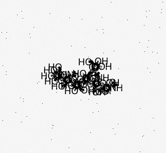 CC(=O)NC1[C@H](OC2C(O)[C@H](O)C(CO)O[C@@H]2O[C@@H]2C(O)[C@H](O[C@@H]3C(CO)O[C@@H](O[C@@H]4C(CO)O[C@@H](C)C(NC(C)=O)[C@H]4O)C(NC(C)=O)[C@H]3O)OC(CO[C@@H]3C[C@@H](O)[C@H](O)C(CO)O3)[C@H]2O)OC(CO)[C@@H](O[C@@H]2OC(CO)[C@H](O)[C@H](O)C2O)[C@@H]1O